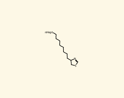 CCCCCCCCCCCCCCCC1CS[C]=N1